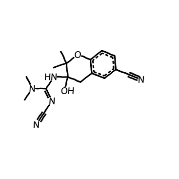 CN(C)C(=NC#N)NC1(O)Cc2cc(C#N)ccc2OC1(C)C